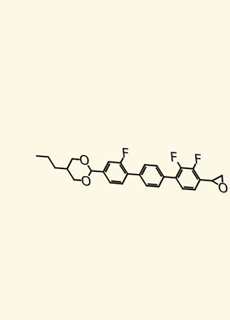 CCCC1COC(c2ccc(-c3ccc(-c4ccc(C5CO5)c(F)c4F)cc3)c(F)c2)OC1